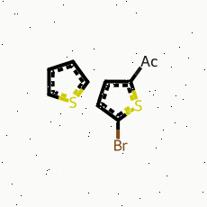 CC(=O)c1ccc(Br)s1.c1ccsc1